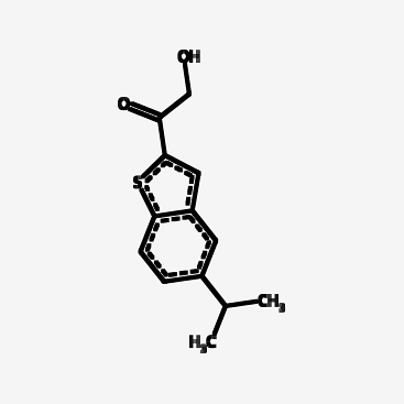 CC(C)c1ccc2sc(C(=O)CO)cc2c1